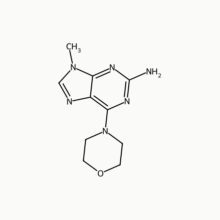 Cn1cnc2c(N3CCOCC3)nc(N)nc21